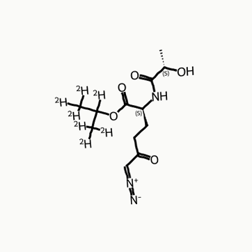 [2H]C([2H])([2H])C([2H])(OC(=O)[C@H](CCC(=O)C=[N+]=[N-])NC(=O)[C@H](C)O)C([2H])([2H])[2H]